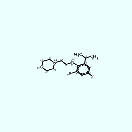 CC(C)c1cc(F)cc(F)c1NCCN1CCOCC1